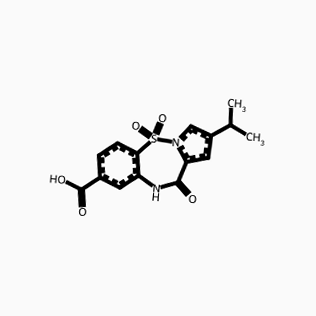 CC(C)c1cc2n(c1)S(=O)(=O)c1ccc(C(=O)O)cc1NC2=O